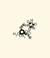 CC1(C)CC(N=C=O)CC(C)(CN=C=O)C1.[2H]n1c(=O)[nH]c(=O)[nH]c1=O